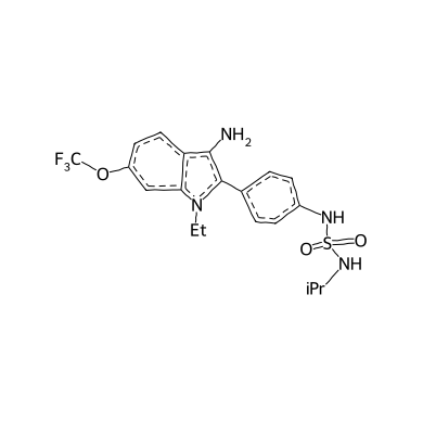 CCn1c(-c2ccc(NS(=O)(=O)NC(C)C)cc2)c(N)c2ccc(OC(F)(F)F)cc21